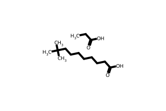 CC(C)(C)CCCCCCCC(=O)O.CCC(=O)O